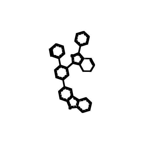 c1cccc(-c2ccc(-c3ccc4oc5ccccc5c4c3)cc2-c2oc(-c3ccccc3)c3c2CCC=C3)c#1